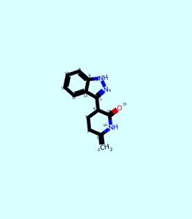 C=C1CCC(c2n[nH]c3ccccc23)C(=O)N1